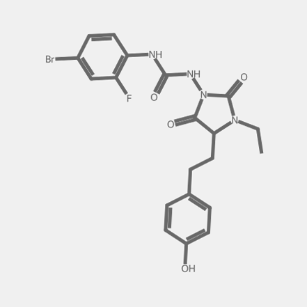 CCN1C(=O)N(NC(=O)Nc2ccc(Br)cc2F)C(=O)C1CCc1ccc(O)cc1